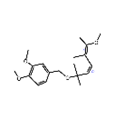 CO/C(C)=C(C)\C=C/C(C)(C)OCc1ccc(OC)c(OC)c1